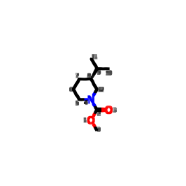 COC(=O)N1CCC[C@@H](C(C)C)C1